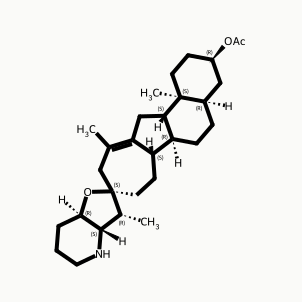 CC(=O)O[C@@H]1CC[C@@]2(C)[C@H](CC[C@H]3[C@@H]4CC[C@@]5(CC(C)=C4C[C@@H]32)O[C@@H]2CCCN[C@H]2[C@H]5C)C1